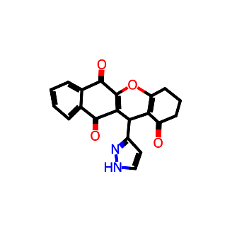 O=C1CCCC2=C1C(c1cc[nH]n1)C1=C(O2)C(=O)c2ccccc2C1=O